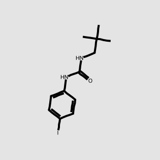 CC(C)(C)CNC(=O)Nc1ccc(I)cc1